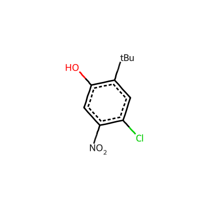 CC(C)(C)c1cc(Cl)c([N+](=O)[O-])cc1O